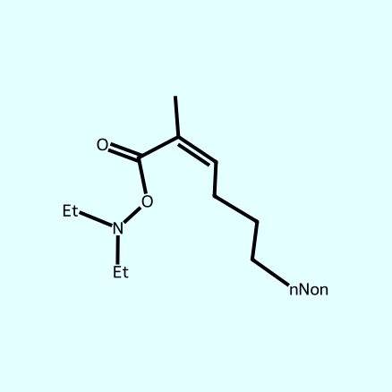 CCCCCCCCCCCCC=C(C)C(=O)ON(CC)CC